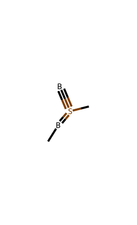 B#S(C)=BC